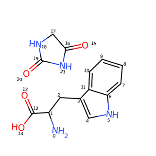 NC(Cc1c[nH]c2ccccc12)C(=O)O.O=C1CNC(=O)N1